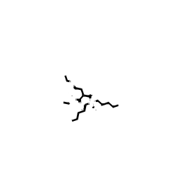 CCCCC[N+](S)(CCCCC)C(=S)C(CC(=O)OCC)C(=O)OCC